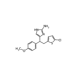 COc1ccc(C(Cc2ccc(Cl)s2)c2c[nH]c(N)n2)cc1